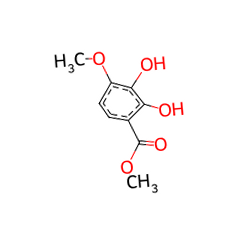 COC(=O)c1ccc(OC)c(O)c1O